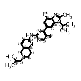 Cc1nc2c(F)cc(-c3nc(Nc4ccc5c(n4)CCN(CC(C)C)C5)ncc3F)cc2n1C(C)C